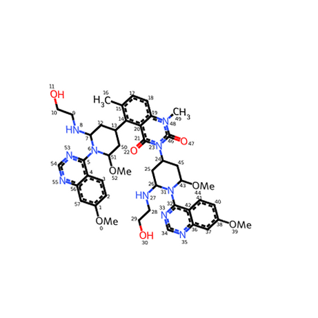 COc1ccc2c(N3C(NCCO)CC(c4c(C)ccc5c4c(=O)n(C4CC(NCCO)N(c6ncnc7cc(OC)ccc67)C(OC)C4)c(=O)n5C)CC3OC)ncnc2c1